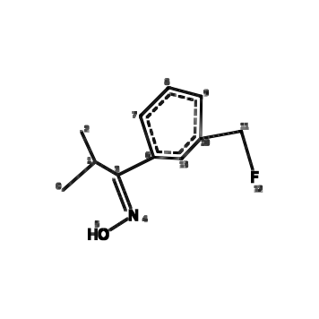 CC(C)C(=NO)c1cccc(CF)c1